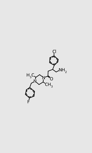 CC1CN(C(=O)CC(CN)c2ccc(Cl)cc2)C(C)CN1Cc1ccc(F)cc1